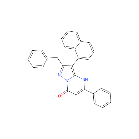 O=c1cc(-c2ccccc2)[nH]c2c(-c3cccc4ccccc34)c(Cc3ccccc3)nn12